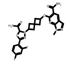 Cn1ncc2cc(C(N)=O)c(OC3CC4(C3)CC(N3N=C(c5ccc(F)cc5F)SC3C(N)=O)C4)nc21